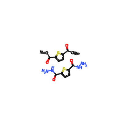 COC(=O)c1ccc(C(=O)OC)s1.NNC(=O)c1ccc(C(=O)NN)s1